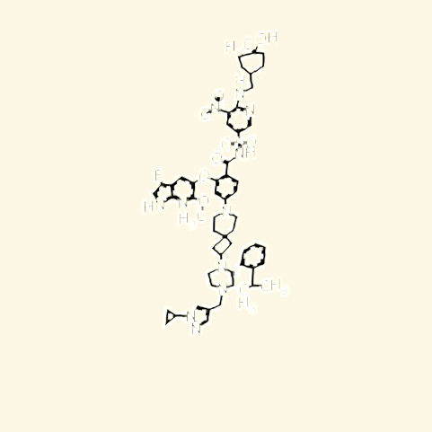 COc1nc2[nH]cc(F)c2cc1Oc1cc(N2CCC3(CC2)CC(N2CCN(Cc4cnn(C5CC5)c4)C[C@H]2c2ccccc2C(C)C)C3)ccc1C(=O)NS(=O)(=O)c1cnc(NCC2CCC(C)(O)CC2)c([N+](=O)[O-])c1